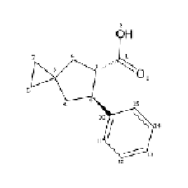 O=C(O)[C@H]1CC2(CC2)C[C@@H]1c1ccccc1